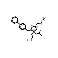 CC(C)C[C@]1(CCO)C[C@H](CN=[N+]=[N-])ON1Cc1ccc(-c2ccccc2)cc1